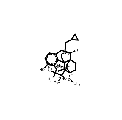 CO[C@@]12CCC3(C[C@@H]1[C@](C)(O)C(C)(C)C)[C@H]1Cc4ccc(O)c5c4C3(CCN1CC1CC1)C2O5